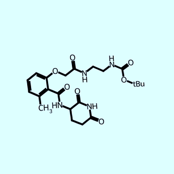 Cc1cccc(OCC(=O)NCCNC(=O)OC(C)(C)C)c1C(=O)NC1CCC(=O)NC1=O